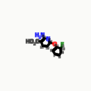 Nc1nc(Oc2ccccc2F)ccc1C(=O)O